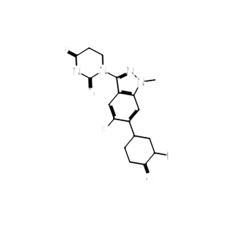 Cn1nc(N2CCC(=O)NC2=O)c2cc(F)c(C3CCC(=O)C(F)C3)cc21